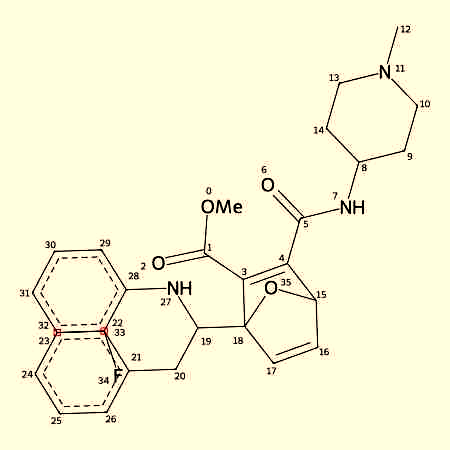 COC(=O)C1=C(C(=O)NC2CCN(C)CC2)C2C=CC1(C(Cc1ccccc1)Nc1ccccc1F)O2